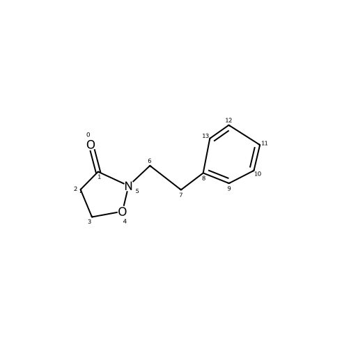 O=C1[CH]CON1CCc1ccccc1